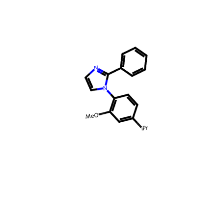 COc1cc(C(C)C)ccc1-n1ccnc1-c1ccccc1